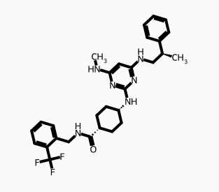 CNc1cc(NC[C@H](C)c2ccccc2)nc(N[C@H]2CC[C@@H](C(=O)NCc3ccccc3C(F)(F)F)CC2)n1